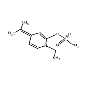 CCN1C=CC(=C(C)C)C=C1OS(C)(=O)=O